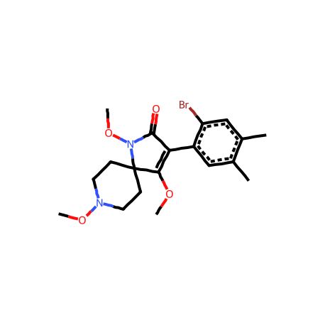 COC1=C(c2cc(C)c(C)cc2Br)C(=O)N(OC)C12CCN(OC)CC2